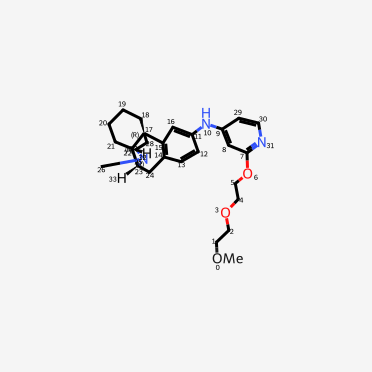 COCCOCCOc1cc(Nc2ccc3c(c2)[C@@]24CCCC[C@H]2[C@@H](C3)N(C)CC4)ccn1